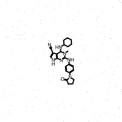 CN1C(Nc2ccc(N3CCCC3=O)cc2)=Nc2[nH]cc(C#N)c2C1NC1CCCCC1